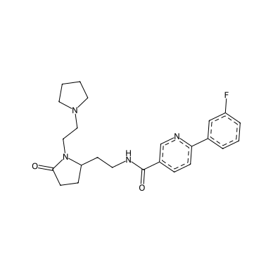 O=C(NCCC1CCC(=O)N1CCN1CCCC1)c1ccc(-c2cccc(F)c2)nc1